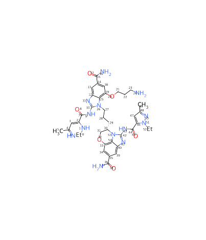 CCN/C(=C\C(C)=N)C(=O)Nc1nc2cc(C(N)=O)cc(OCCCN)c2n1CCC[C@H]1COc2cc(C(N)=O)cc3nc(NC(=O)c4cc(C)nn4CC)n1c23